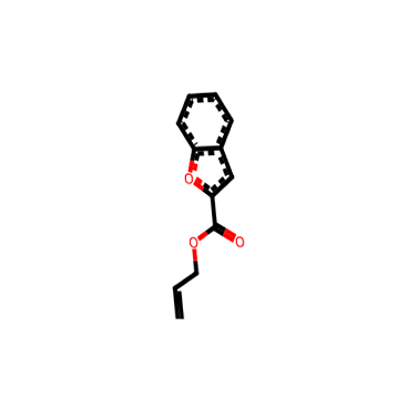 C=CCOC(=O)c1cc2ccccc2o1